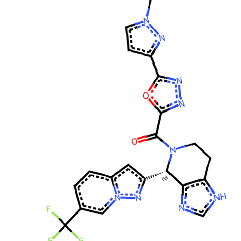 Cn1ccc(-c2nnc(C(=O)N3CCc4[nH]cnc4[C@@H]3c3cc4ccc(C(F)(F)F)cn4n3)o2)n1